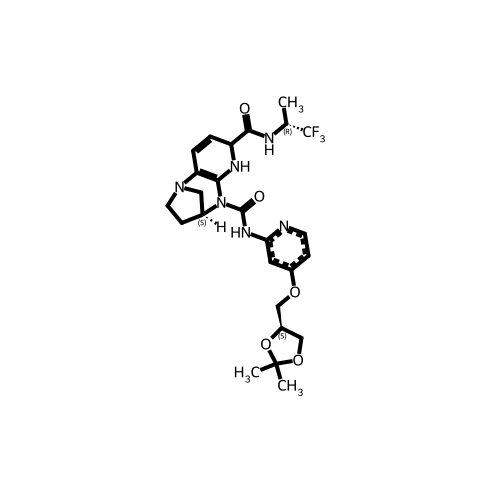 C[C@@H](NC(=O)C1C=CC2=C(N1)N(C(=O)Nc1cc(OC[C@H]3COC(C)(C)O3)ccn1)[C@H]1CCN2C1)C(F)(F)F